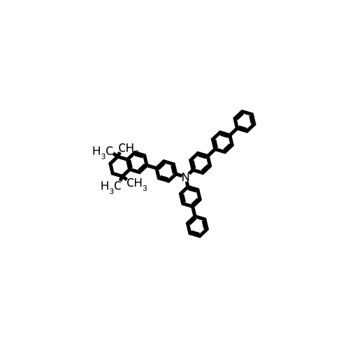 CC1(C)CCC(C)(C)c2cc(-c3ccc(N(c4ccc(-c5ccccc5)cc4)c4ccc(-c5ccc(-c6ccccc6)cc5)cc4)cc3)ccc21